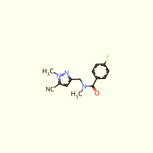 CN(Cc1cc(C#N)n(C)n1)C(=O)c1ccc(F)cc1